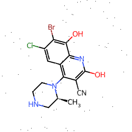 C[C@H]1CNCCN1c1c(C#N)c(O)nc2c(O)c(Br)c(Cl)cc12